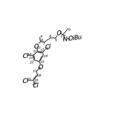 CC(=NOCC(C)C)OCCCC(C)Oc1c(Cl)cc(OCC=C(Cl)Cl)cc1Cl